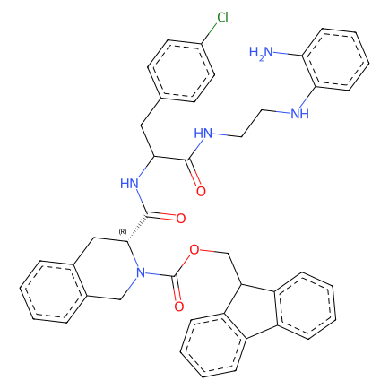 Nc1ccccc1NCCNC(=O)C(Cc1ccc(Cl)cc1)NC(=O)[C@H]1Cc2ccccc2CN1C(=O)OCC1c2ccccc2-c2ccccc21